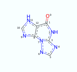 O=c1[nH]c2ncnn2c2nc[nH]c12